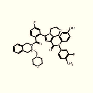 Cc1ccc(N(C(=O)c2cc(-c3cc(F)ccc3C(=O)N3Cc4ccccc4C[C@H]3CN3CCOCC3)n3c2COCC3)c2ccc(O)cc2)cc1F